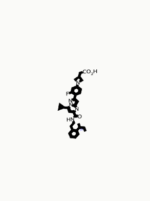 C/C=C(/C)c1ccccc1CCNC(=O)c1cc(C2CC2)n2nc(-c3ccc(N4CC(CC(=O)O)C4)cc3F)cc2n1